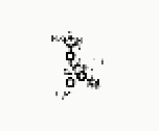 Cl.Cn1cc(-c2ccc(C[C@@H](C(N)=O)N(c3ccc(-c4nn[nH]n4)cc3)C(=O)[C@H]3CC[C@H](CN)CC3)cc2)c(=O)[nH]c1=O